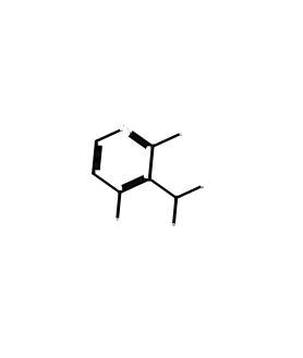 Cc1ccnc(C(C)C)c1C(F)F